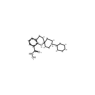 O=C(NO)c1cccc2c1OC1(CC2)CCN(C2CCCCC2)CC1